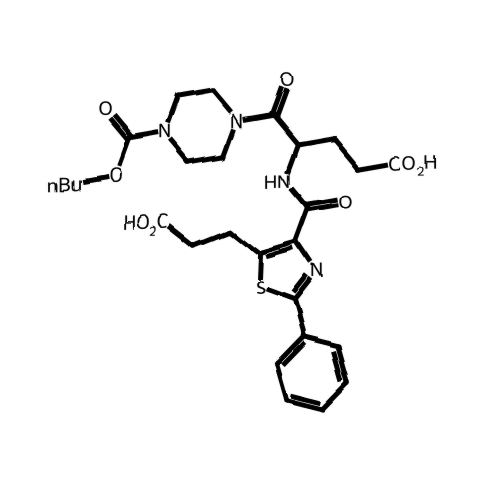 CCCCOC(=O)N1CCN(C(=O)C(CCC(=O)O)NC(=O)c2nc(-c3ccccc3)sc2CCC(=O)O)CC1